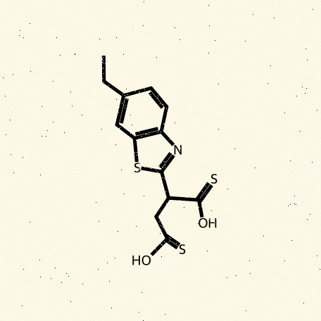 CCc1ccc2nc(C(CC(O)=S)C(O)=S)sc2c1